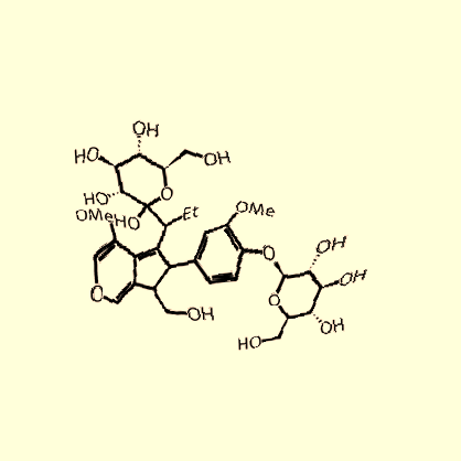 [CH2]CC(C1=C2C(OC)=COC=C2C(CO)C1c1ccc(O[C@@H]2O[C@H](CO)[C@@H](O)[C@H](O)[C@H]2O)c(OC)c1)C1(O)O[C@H](CO)[C@@H](O)[C@H](O)[C@H]1O